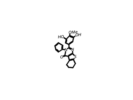 COc1c(O)cc(-c2nc3sc4c(c3c(=O)n2-c2ccccc2)CCCC4)cc1O